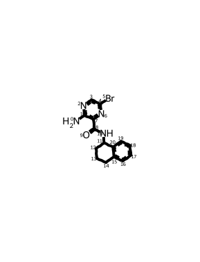 Nc1ncc(Br)nc1C(=O)NC1CCCc2ccccc21